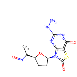 CC(N=O)[C@@H]1CC[C@H](n2c(=O)sc3c(=O)[nH]c(NN)nc32)O1